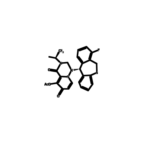 CC(=O)Oc1c2n(ccc1=O)N([C@H]1c3ccccc3SCc3c(F)cccc31)CN([C@@H](C)C(F)(F)F)C2=O